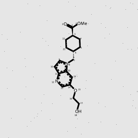 COC(=O)[C@H]1CC[C@H](Cn2ccc3ncc(OCCO)cc32)CC1